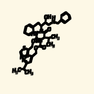 CC(C)c1cc(COC(=O)NC(C(=O)N(NC(=O)OCc2cncs2)[C@@H](Cc2ccccc2)[C@@H](O)CNCc2ccccc2)C(C)C)sn1